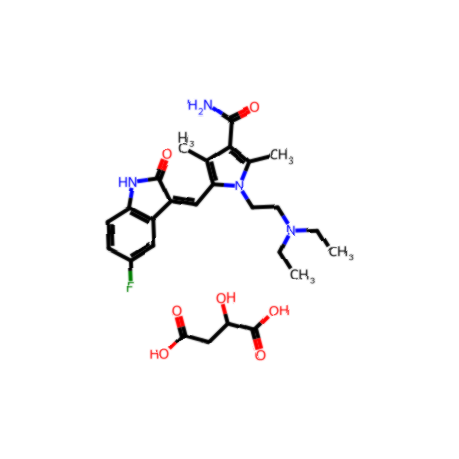 CCN(CC)CCn1c(C)c(C(N)=O)c(C)c1/C=C1\C(=O)Nc2ccc(F)cc21.O=C(O)CC(O)C(=O)O